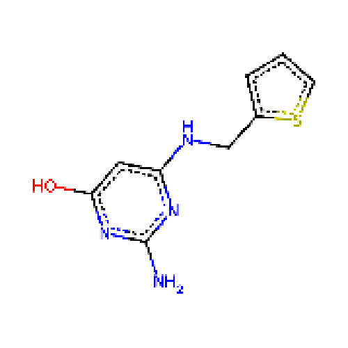 Nc1nc(O)cc(NCc2cccs2)n1